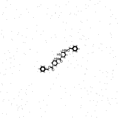 O=C(NC1CCN(C(=O)OCc2ccccc2)CC1)[C@@H]1CC[C@@H](NOCc2ccccc2)CN1